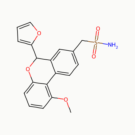 COc1cccc2c1-c1ccc(CS(N)(=O)=O)cc1C(c1ccco1)O2